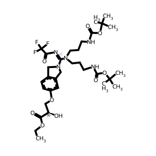 CCOC(=O)[C@H](O)COc1ccc2c(c1)CN(/C(=N\C(=O)C(F)(F)F)N(CCCNC(=O)OC(C)(C)C)CCCNC(=O)OC(C)(C)C)C2